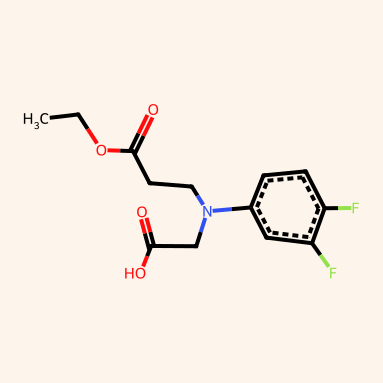 CCOC(=O)CCN(CC(=O)O)c1ccc(F)c(F)c1